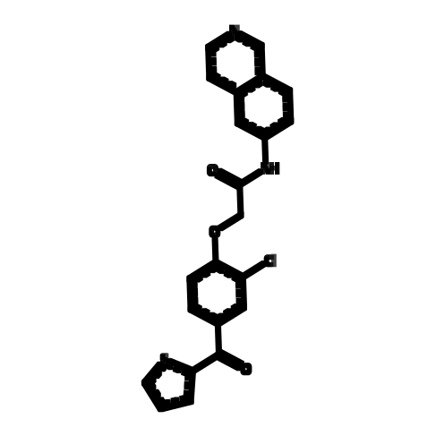 O=C(COc1ccc(C(=O)c2cccs2)cc1Cl)Nc1ccc2cnccc2c1